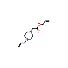 C=CCOC(=O)CN1CCN(CC=C)CC1